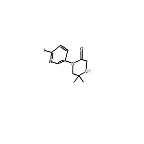 CC1(C)CN(c2ccc(I)nc2)C(=O)CN1